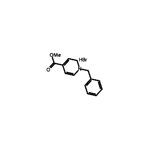 Br.COC(=O)C1=CCN(Cc2ccccc2)C=C1